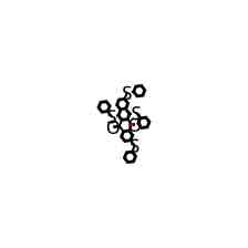 O=C1c2ccc(Sc3ccccc3)cc2C(=O)c2c1c(Sc1ccccc1)c1ccc(Sc3ccccc3)cc1c2Sc1ccccc1